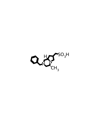 C[C@@H]1CN(Cc2ccccc2)C[C@@H]2CC(CS(=O)(=O)O)CN21